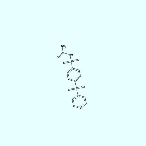 NC(=O)NS(=O)(=O)c1ccc(S(=O)(=O)c2ccccc2)cc1